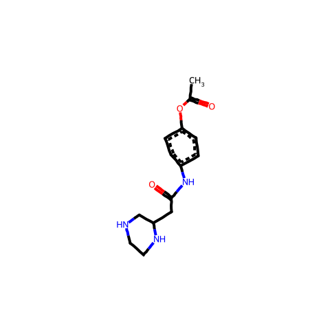 CC(=O)Oc1ccc(NC(=O)CC2CNCCN2)cc1